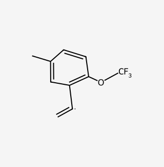 C=[C]c1cc(C)ccc1OC(F)(F)F